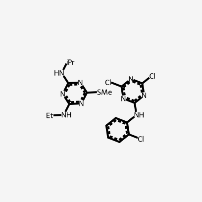 CCNc1nc(NC(C)C)nc(SC)n1.Clc1nc(Cl)nc(Nc2ccccc2Cl)n1